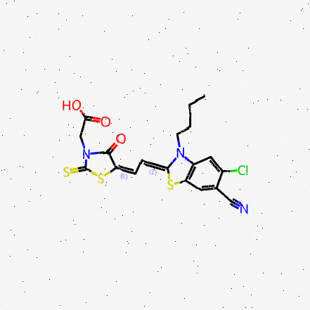 CCCCN1/C(=C/C=C2/SC(=S)N(CC(=O)O)C2=O)Sc2cc(C#N)c(Cl)cc21